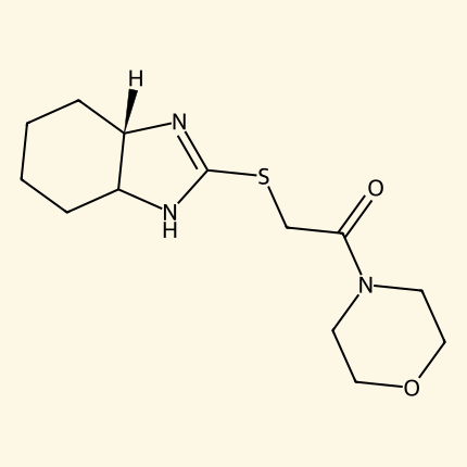 O=C(CSC1=N[C@H]2CCCCC2N1)N1CCOCC1